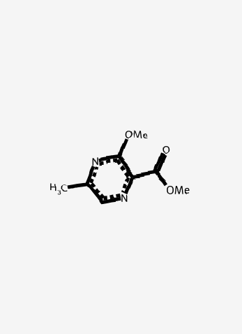 COC(=O)c1ncc(C)nc1OC